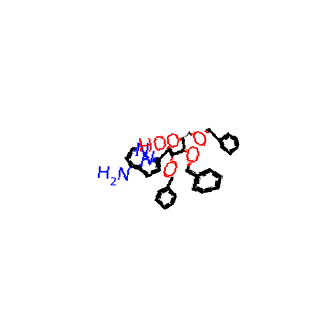 Nc1ccnn2c(C3(O)O[C@H](COCc4ccccc4)[C@@H](OCc4ccccc4)[C@H]3OCc3ccccc3)ccc12